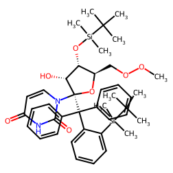 COOC[C@H]1O[C@](n2ccc(=O)[nH]c2=O)(C(c2ccccc2)(c2ccccc2)c2ccccc2[Si](C)(C)C(C)(C)C)[C@H](O)[C@@H]1O[Si](C)(C)C(C)(C)C